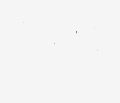 CNc1ncc(/C=C(\NCC(C#N)N2CCC(O)C2)c2cc(F)cc(C#N)c2)c2c1ncn2C